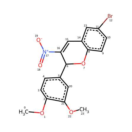 COc1ccc(C2Oc3ccc(Br)cc3C=C2[N+](=O)[O-])cc1OC